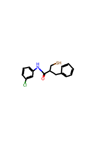 O=C(Nc1cccc(Cl)c1)C(CS)Cc1ccccc1